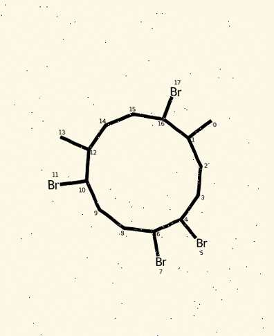 CC1CCC(Br)C(Br)CCC(Br)C(C)CCC1Br